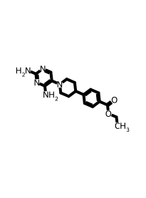 CCOC(=O)c1ccc(C2CCN(c3cnc(N)nc3N)CC2)cc1